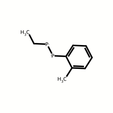 CC[P][P]c1ccccc1C